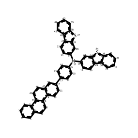 c1ccc2c(c1)ccc1c3ccc(-c4ccc(N(c5ccc6c(c5)sc5ccccc56)c5ccc6c(c5)sc5ccccc56)cc4)cc3ccc21